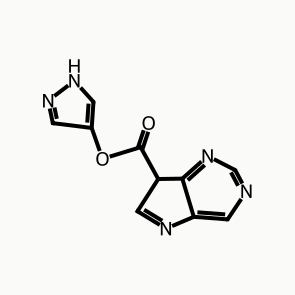 O=C(Oc1cn[nH]c1)C1C=Nc2cncnc21